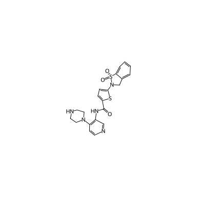 O=C(Nc1cnccc1N1CCNCC1)c1ccc(N2Cc3ccccc3S2(=O)=O)s1